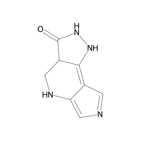 O=C1NNC2=C3C=NC=C3NCC12